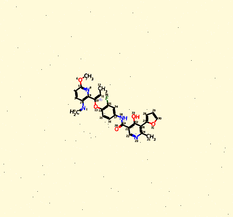 C=Nc1ccc(OC)nc1/C(=C\C)Oc1ccc(NC(=O)c2cnc(C)c(-c3ccco3)c2O)cc1F